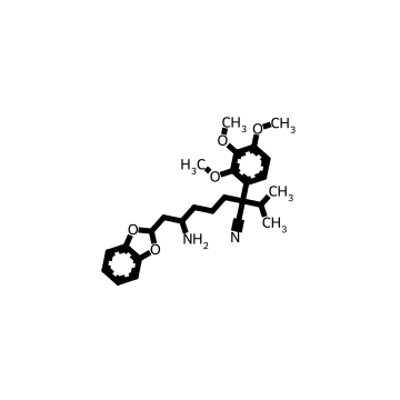 COc1ccc(C(C#N)(CCCC(N)CC2Oc3ccccc3O2)C(C)C)c(OC)c1OC